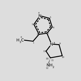 CCc1cnccc1N1CC[C@H](N)C1